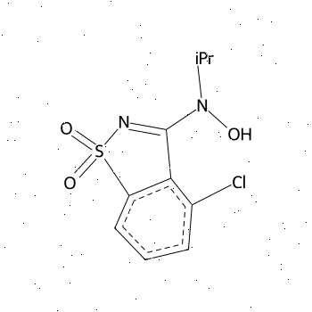 CC(C)N(O)C1=NS(=O)(=O)c2cccc(Cl)c21